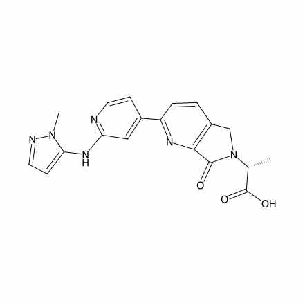 C[C@H](C(=O)O)N1Cc2ccc(-c3ccnc(Nc4ccnn4C)c3)nc2C1=O